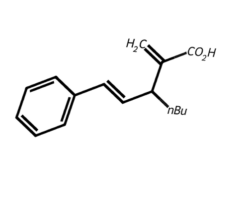 C=C(C(=O)O)C(C=Cc1ccccc1)CCCC